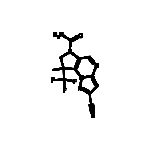 CC1(C(F)(F)F)CN(C(N)=O)c2cnc3cc(C#N)nn3c21